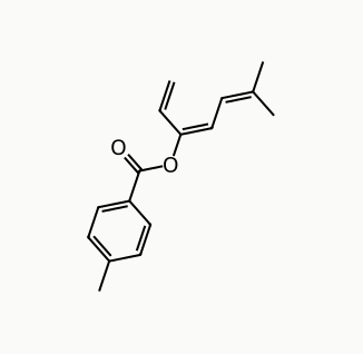 C=C/C(=C\C=C(C)C)OC(=O)c1ccc(C)cc1